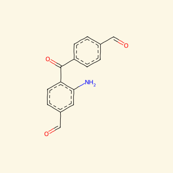 Nc1cc(C=O)ccc1C(=O)c1ccc(C=O)cc1